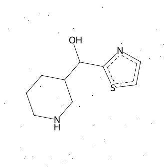 OC(c1nccs1)C1CCCNC1